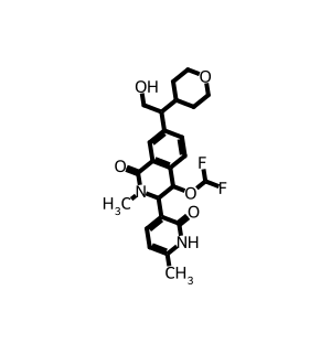 Cc1ccc(C2C(OC(F)F)c3ccc(C(CO)C4CCOCC4)cc3C(=O)N2C)c(=O)[nH]1